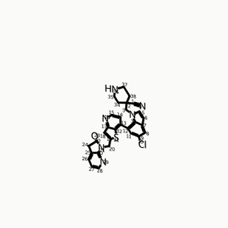 N#CC1(Cn2ccc3cc(Cl)cc(-c4ccnc5cc(CN6C(=O)Cc7cccnc76)sc45)c32)CCNCC1